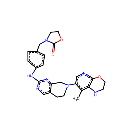 Cc1c(N2CCc3cnc(Nc4ccc(CN5CCOC5=O)cc4)nc3C2)cnc2c1NCCO2